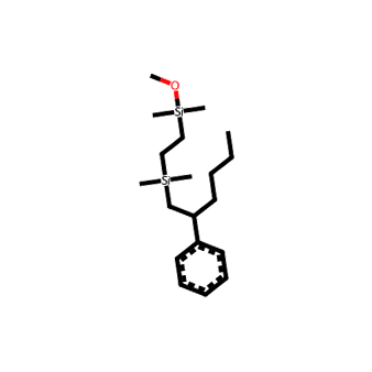 CCCCC(C[Si](C)(C)CC[Si](C)(C)OC)c1ccccc1